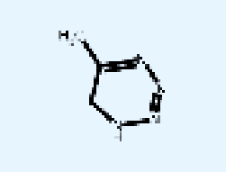 CC1=NN=NNC1